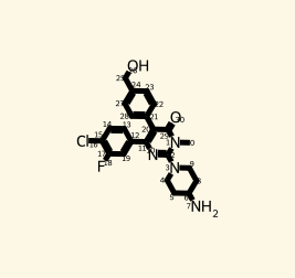 Cn1c(N2CCC(N)CC2)nc(-c2ccc(Cl)c(F)c2)c(-c2ccc(CO)cc2)c1=O